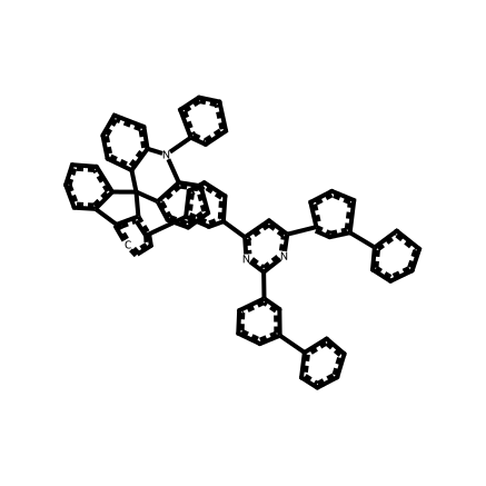 c1ccc(-c2cccc(-c3cc(-c4cccc(-c5cccc6c5C5(c7ccccc7-6)c6ccccc6N(c6ccccc6)c6ccccc65)c4)nc(-c4cccc(-c5ccccc5)c4)n3)c2)cc1